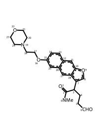 CNC(=O)C(CCC=O)c1coc2cc3ccc(OCCN4CCOCC4)cc3cc12